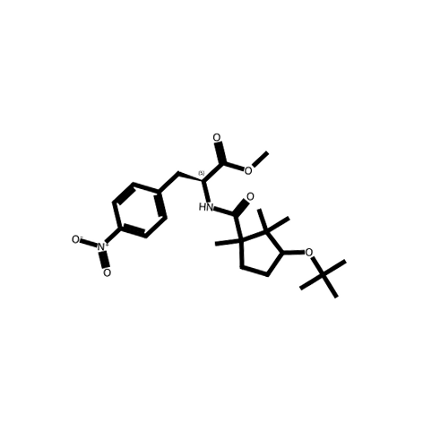 COC(=O)[C@H](Cc1ccc([N+](=O)[O-])cc1)NC(=O)C1(C)CCC(OC(C)(C)C)C1(C)C